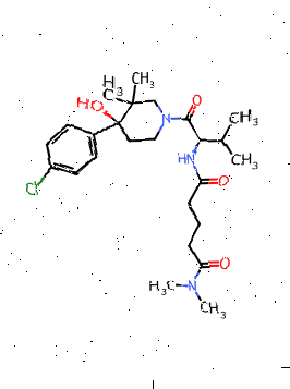 CC(C)[C@@H](NC(=O)CCCC(=O)N(C)C)C(=O)N1CC[C@](O)(c2ccc(Cl)cc2)C(C)(C)C1